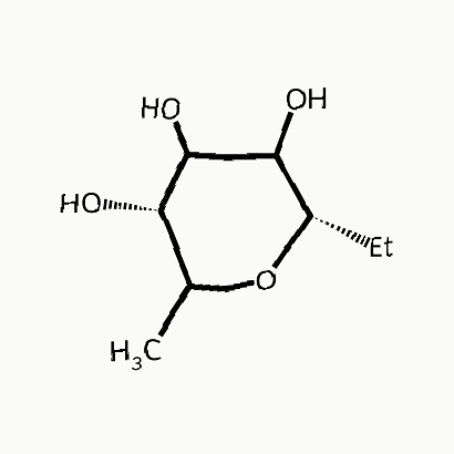 CC[C@@H]1OC(C)[C@H](O)C(O)C1O